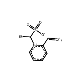 C=Cc1cccc[n+]1C(CC)S(=O)(=O)[O-]